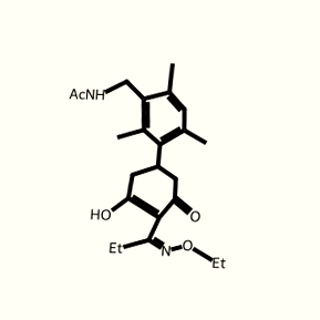 CCO/N=C(/CC)C1=C(O)CC(c2c(C)cc(C)c(CNC(C)=O)c2C)CC1=O